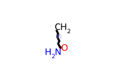 C=C/C=C/CCC(N)=O